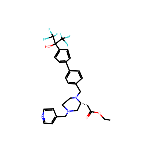 CCOC(=O)C[C@@H]1CN(Cc2ccncc2)CCN1Cc1ccc(-c2ccc(C(O)(C(F)(F)F)C(F)(F)F)cc2)cc1